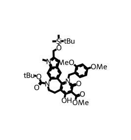 COC(=O)c1c(O)c2c(n(Cc3ccc(OC)cc3OC)c1=O)-c1cc3cc(CO[Si](C)(C)C(C)(C)C)n(C)c3cc1N(C(=O)OC(C)(C)C)CC2